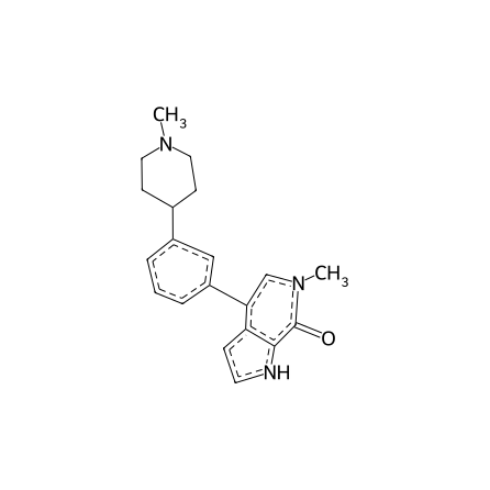 CN1CCC(c2cccc(-c3cn(C)c(=O)c4[nH]ccc34)c2)CC1